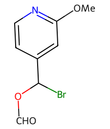 COc1cc(C(Br)OC=O)ccn1